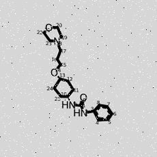 O=C(Nc1ccccc1)N[C@H]1CC[C@H](OCCCN2CCOCC2)CC1